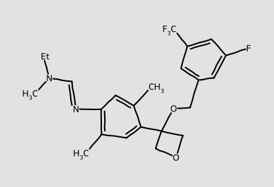 CCN(C)C=Nc1cc(C)c(C2(OCc3cc(F)cc(C(F)(F)F)c3)COC2)cc1C